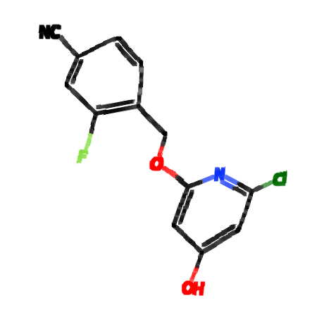 N#Cc1ccc(COc2cc(O)cc(Cl)n2)c(F)c1